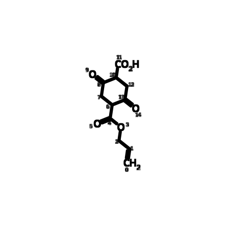 C=CCOC(=O)C1CC(=O)C(C(=O)O)CC1=O